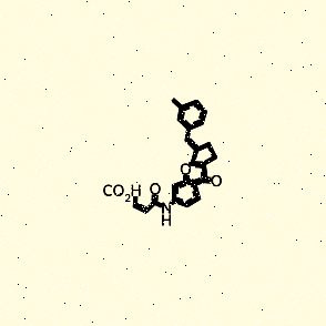 Cc1cccc(C=C2CCc3c2oc2cc(NC(=O)/C=C\C(=O)O)ccc2c3=O)c1